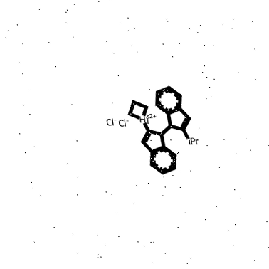 CC(C)C1=Cc2ccccc2C1C1[C]([Hf+2]2[CH2]C[CH2]2)=Cc2ccccc21.[Cl-].[Cl-]